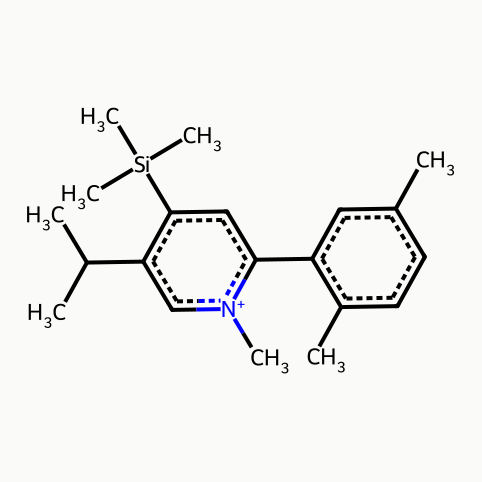 Cc1ccc(C)c(-c2cc([Si](C)(C)C)c(C(C)C)c[n+]2C)c1